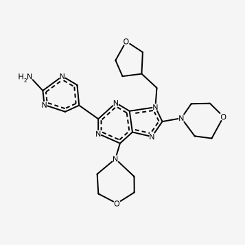 Nc1ncc(-c2nc(N3CCOCC3)c3nc(N4CCOCC4)n(CC4CCOC4)c3n2)cn1